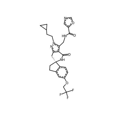 O=C(NCc1c2c(nn1CCC1CC1)C[C@]1(CCc3cc(OCC(F)(F)F)ccc31)NC2=O)c1cnco1